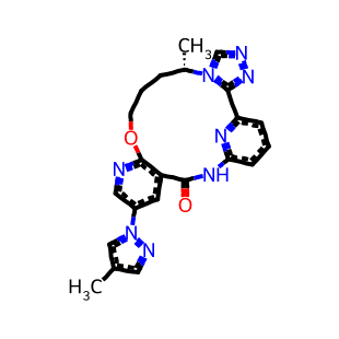 Cc1cnn(-c2cnc3c(c2)C(=O)Nc2cccc(n2)-c2nncn2[C@@H](C)CCCO3)c1